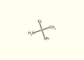 CCC[Si](C)(N)CC